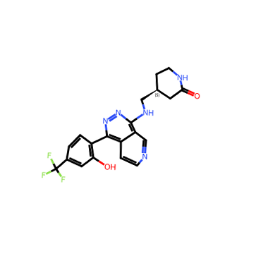 O=C1C[C@@H](CNc2nnc(-c3ccc(C(F)(F)F)cc3O)c3ccncc23)CCN1